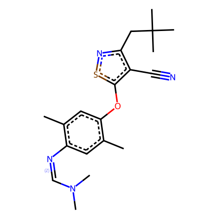 Cc1cc(Oc2snc(CC(C)(C)C)c2C#N)c(C)cc1/N=C\N(C)C